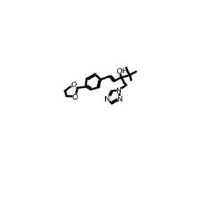 CC(C)(C)C(O)(C=Cc1ccc(C2OCCO2)cc1)Cn1cncn1